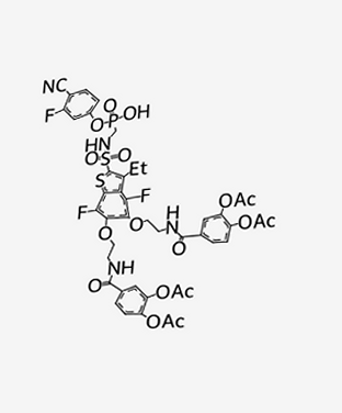 CCc1c(S(=O)(=O)NCP(=O)(O)Oc2ccc(C#N)c(F)c2)sc2c(F)c(OCCNC(=O)c3ccc(OC(C)=O)c(OC(C)=O)c3)c(OCCNC(=O)c3ccc(OC(C)=O)c(OC(C)=O)c3)c(F)c12